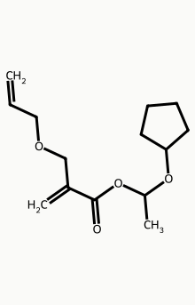 C=CCOCC(=C)C(=O)OC(C)OC1CCCC1